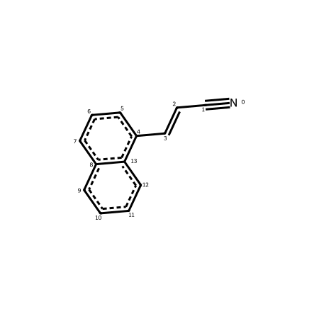 N#CC=Cc1cccc2ccccc12